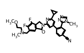 COCCN(C)Cc1cc2c(c(F)c1F)CN(c1cc(-c3ccc(C#N)cc3-c3nncn3C)cc(C3CC3)n1)C2=O